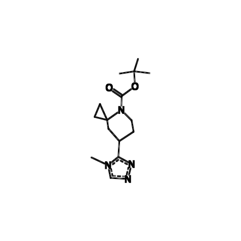 Cn1cnnc1C1CCN(C(=O)OC(C)(C)C)C2(CC2)C1